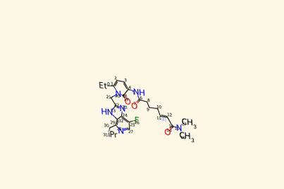 CCc1ccc(NC(=O)CCC/C=C/C(=O)N(C)C)c(=O)n1Cc1nc2c(F)cnc(CC(C)C)c2[nH]1